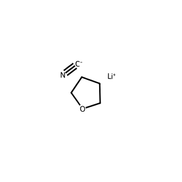 C1CCOC1.[C-]#N.[Li+]